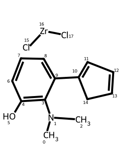 CN(C)c1c(O)cccc1C1=CC=CC1.[Cl][Zr][Cl]